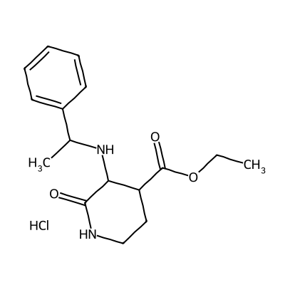 CCOC(=O)C1CCNC(=O)C1NC(C)c1ccccc1.Cl